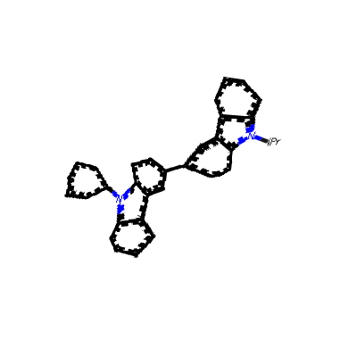 CC(C)n1c2ccccc2c2cc(-c3ccc4c(c3)c3ccccc3n4-c3ccccc3)ccc21